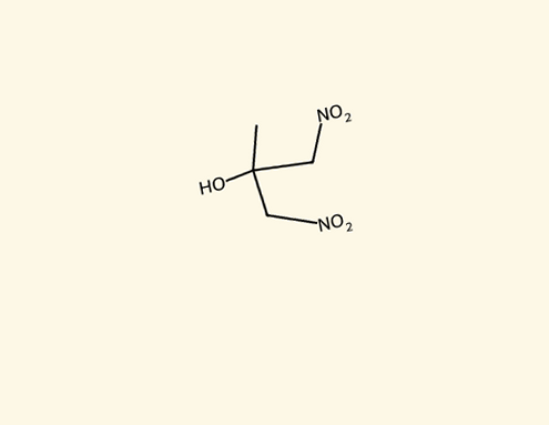 CC(O)(C[N+](=O)[O-])C[N+](=O)[O-]